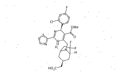 COC(=O)C1=C(CN2[C@H]3C[C@H](CC(=O)O)C[C@@H]2C(F)(F)C3)NC(c2nccs2)=N[C@H]1c1ccc(F)cc1Cl